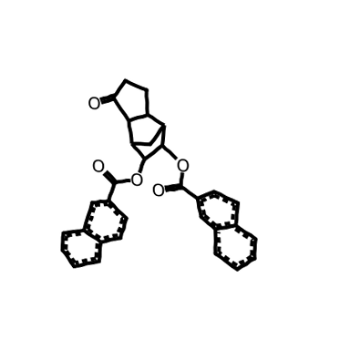 O=C(OC1C2CC(C1OC(=O)c1ccc3ccccc3c1)C1C(=O)CCC21)c1ccc2ccccc2c1